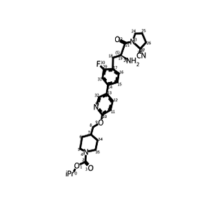 CC(C)OC(=O)N1CCC(COc2ccc(-c3ccc(C[C@H](N)C(=O)N4CCC[C@H]4C#N)c(F)c3)cn2)CC1